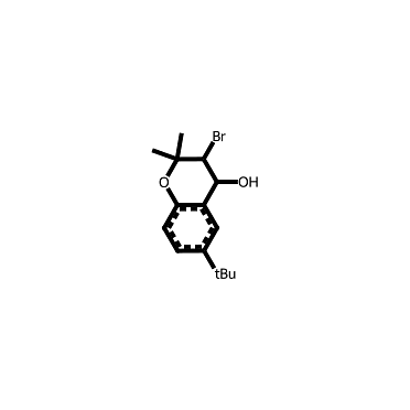 CC(C)(C)c1ccc2c(c1)C(O)C(Br)C(C)(C)O2